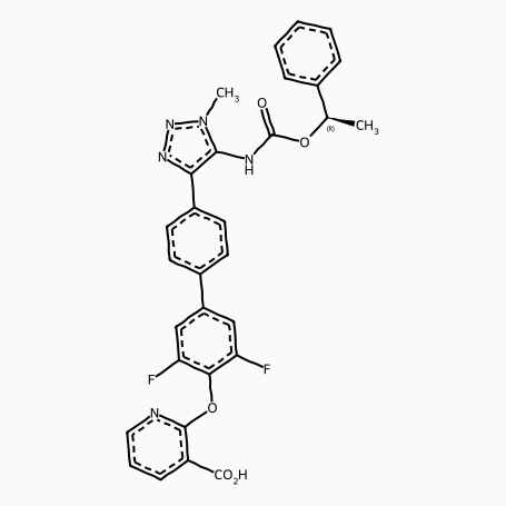 C[C@@H](OC(=O)Nc1c(-c2ccc(-c3cc(F)c(Oc4ncccc4C(=O)O)c(F)c3)cc2)nnn1C)c1ccccc1